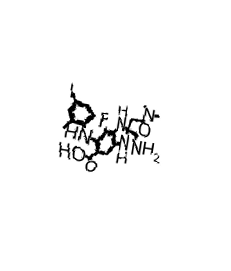 Cc1cc(I)ccc1Nc1c(C(=O)O)cc2c(c1F)NC(CCN(C)C)(C(N)=O)N2